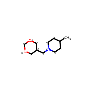 CC1CCN(CC2COCOC2)CC1